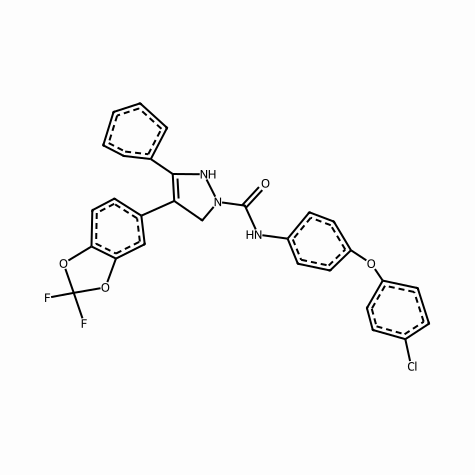 O=C(Nc1ccc(Oc2ccc(Cl)cc2)cc1)N1CC(c2ccc3c(c2)OC(F)(F)O3)=C(c2ccccc2)N1